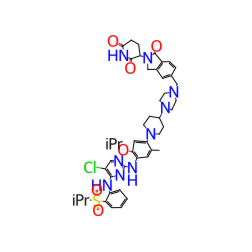 Cc1cc(Nc2ncc(Cl)c(Nc3ccccc3S(=O)(=O)C(C)C)n2)c(OC(C)C)cc1N1CCC(N2CCN(Cc3ccc4c(c3)CN(C3CCC(=O)NC3=O)C4=O)CC2)CC1